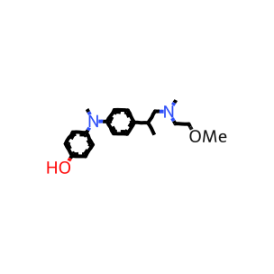 COCCN(C)CC(C)c1ccc(N(C)c2ccc(O)cc2)cc1